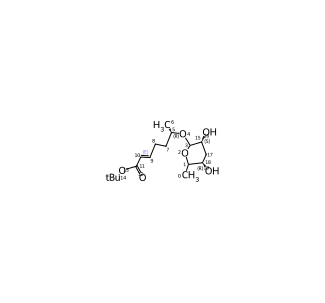 CC1OC(O[C@H](C)CC/C=C/C(=O)OC(C)(C)C)[C@@H](O)C[C@H]1O